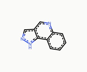 c1ccc2c(c1)ncc1cn[nH]c12